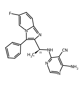 C[C@H](Nc1ncnc(N)c1C#N)c1nc2ccc(F)cn2c1-c1ccccc1